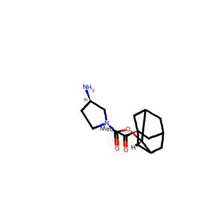 COC(=O)[C@]12CC3CC(C1)[C@@H](OC(=O)N1CC[C@@H](N)C1)C(C3)C2